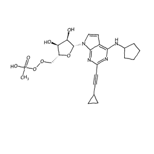 CP(=O)(O)OOC[C@H]1O[C@@H](n2ccc3c(NC4CCCC4)nc(C#CC4CC4)nc32)[C@H](O)[C@@H]1O